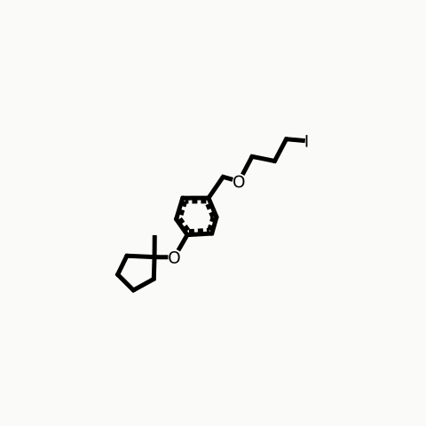 CC1(Oc2ccc(COCCCI)cc2)CCCC1